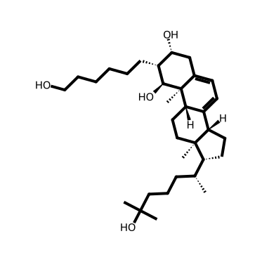 C[C@H](CCCC(C)(C)O)[C@H]1CC[C@H]2C3=CC=C4C[C@@H](O)[C@@H](CCCCCCO)[C@H](O)[C@]4(C)[C@H]3CC[C@]12C